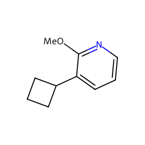 COc1ncccc1C1CCC1